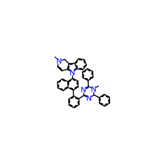 CN1C=Cc2c(c3ccccc3n2-c2ccc(-c3ccccc3C3=NC(c4ccccc4)N(C)C(c4ccccc4)=N3)c3ccccc23)C1